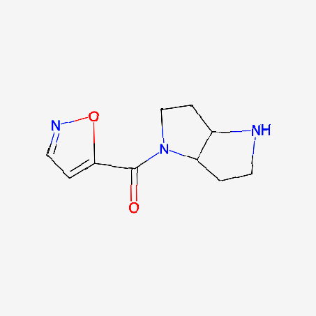 O=C(c1ccno1)N1CCC2NCCC21